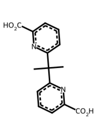 CC(C)(c1cccc(C(=O)O)n1)c1cccc(C(=O)O)n1